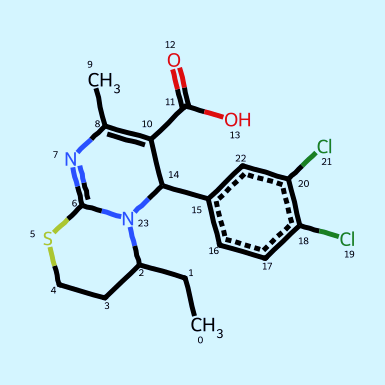 CCC1CCSC2=NC(C)=C(C(=O)O)C(c3ccc(Cl)c(Cl)c3)N21